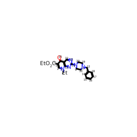 CCOC(=O)c1cn(CC)c2nc(N3CCN(Cc4ccccc4)CC3)ncc2c1=O